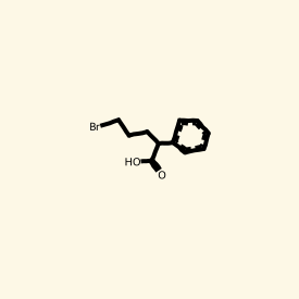 O=C(O)C(CCCBr)c1ccccc1